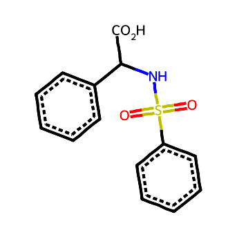 O=C(O)C(NS(=O)(=O)c1ccccc1)c1ccccc1